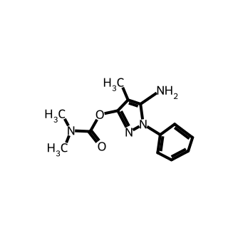 Cc1c(OC(=O)N(C)C)nn(-c2ccccc2)c1N